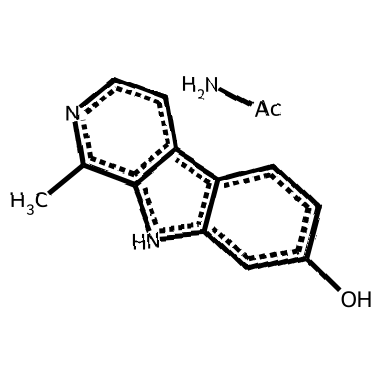 CC(N)=O.Cc1nccc2c1[nH]c1cc(O)ccc12